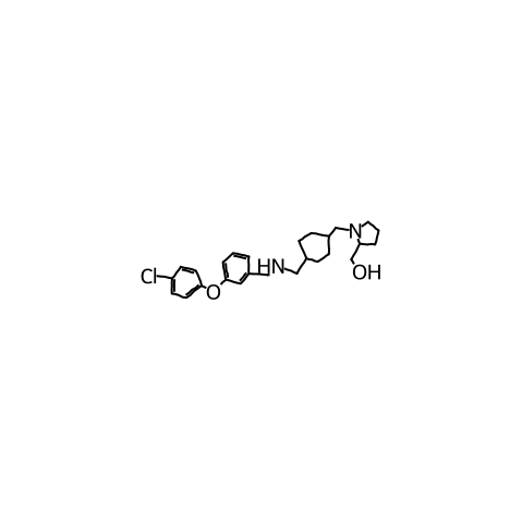 OCC1CCCN1CC1CCC(CNCc2cccc(Oc3ccc(Cl)cc3)c2)CC1